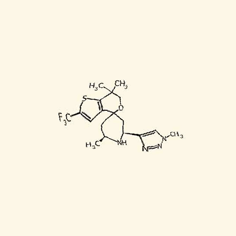 C[C@H]1CC2(C[C@@H](c3cn(C)nn3)N1)OCC(C)(C)c1sc(C(F)(F)F)cc12